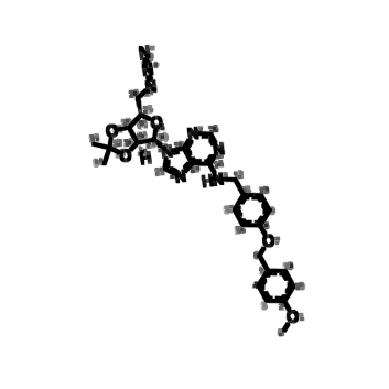 COc1ccc(COc2ccc(CNc3ncnc4c3ncn4[C@@H]3O[C@H](CN=[N+]=[N-])C4OC(C)(C)O[C@@H]43)cc2)cc1